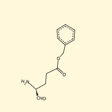 N[C@H]([C]=O)CCC(=O)OCc1ccccc1